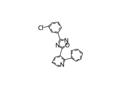 Clc1cccc(-c2noc(-c3cccnc3-c3ccccc3)n2)c1